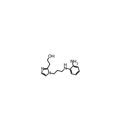 Nc1ccccc1NCCCn1ccnc1CCO